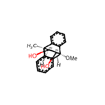 CO[C@]12c3ccccc3[C@](C)(c3ccccc31)[C@H](O)[C@@H]2O